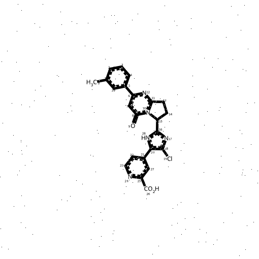 Cc1cccc(-c2cc(=O)n3c(n2)CCC3c2nc(Cl)c(-c3ccnc(C(=O)O)c3)[nH]2)c1